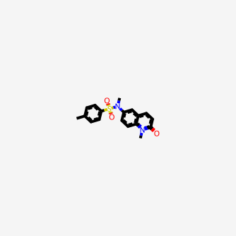 Cc1ccc(S(=O)(=O)N(C)c2ccc3c(ccc(=O)n3C)c2)cc1